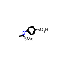 CS/C(C)=N\c1ccc(S(=O)(=O)O)cc1